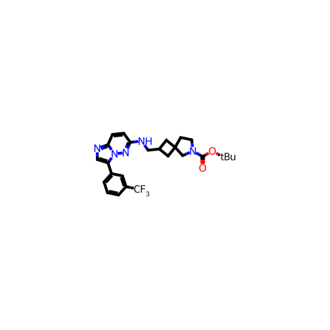 CC(C)(C)OC(=O)N1CCC2(CC(CNc3ccc4ncc(-c5cccc(C(F)(F)F)c5)n4n3)C2)C1